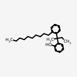 CCCCCCCCCCc1ccccc1C(C)(CC)c1ccccc1O